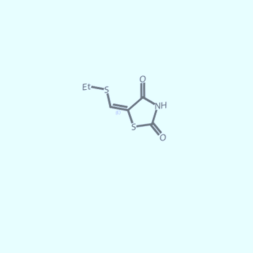 CCS/C=C1/SC(=O)NC1=O